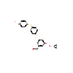 COc1ccc(Sc2ccc(S(=O)(=O)c3cc(CC(=O)O)cc(OCC4CC4)c3)cc2)cc1